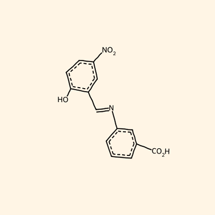 O=C(O)c1cccc(/N=C/c2cc([N+](=O)[O-])ccc2O)c1